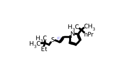 CCCC(C)(C)c1cccc(/C=C/SCC(C)(C)CC)n1